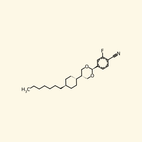 CCCCCCC[C@H]1CC[C@H]([C@H]2CO[C@H](c3ccc(C#N)c(F)c3)OC2)CC1